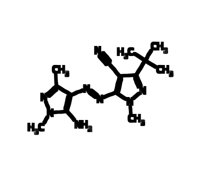 Cc1nn(C)c(N)c1N=Nc1c(C#N)c(C(C)(C)C)nn1C